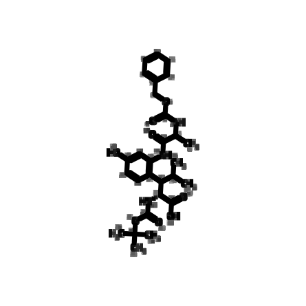 CC(NC(=O)OCc1ccccc1)C(=O)Nc1cc(O)ccc1C(C(C)C)[C@@H](NC(=O)OC(C)(C)C)C(=O)O